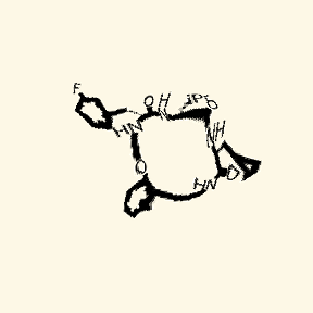 CC(C)[C@H]1NC(=O)[C@@H](Cc2cccc(F)c2)NCCOc2ccccc2CCCNC(=O)[C@H](CC2CC2)NC1=O